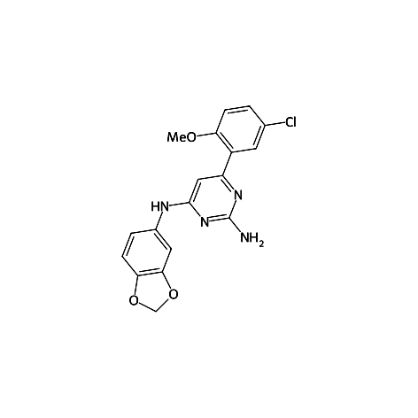 COc1ccc(Cl)cc1-c1cc(Nc2ccc3c(c2)OCO3)nc(N)n1